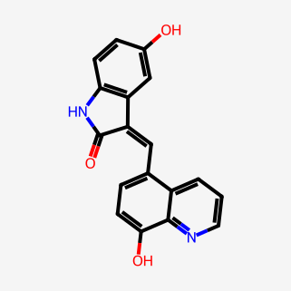 O=C1Nc2ccc(O)cc2C1=Cc1ccc(O)c2ncccc12